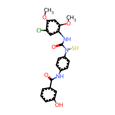 COc1cc(OC)c(NC(=O)N(S)c2ccc(NC(=O)c3cccc(O)c3)cc2)cc1Cl